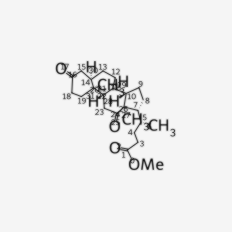 COC(=O)CC[C@@H](C)[C@H]1CC[C@H]2[C@@H]3CC[C@@H]4CC(=O)CC[C@]4(C)[C@H]3CC(=O)[C@]12C